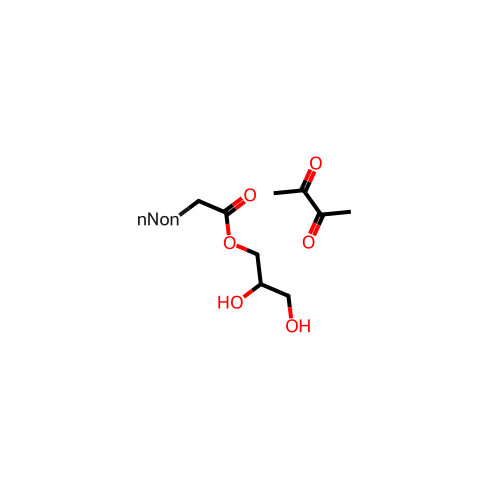 CC(=O)C(C)=O.CCCCCCCCCCC(=O)OCC(O)CO